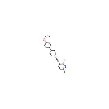 CCCOc1ccc(-c2ccc(C#Cc3ccc(F)nc3F)cc2)cc1